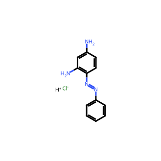 Nc1ccc(N=Nc2ccccc2)c(N)c1.[Cl-].[H+]